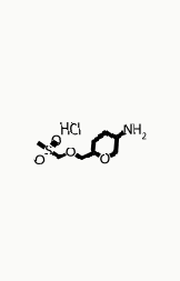 CS(=O)(=O)COCC1CCC(N)CO1.Cl